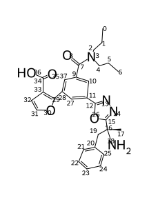 CCCN(CCC)C(=O)c1cc(-c2nnc([C@](C)(N)Cc3ccccc3)o2)cc(-c2occc2C(=O)O)c1